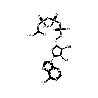 CCCCCCCCCC(CC)OP(=O)(O)OP(=O)(O)OP(=O)(O)OC[C@H]1O[C@@H](n2cnc3c(N)ncnc32)[C@H](O)[C@@H]1O